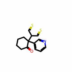 O=C1CCCCC1(c1cccnc1)C(C=S)C=S